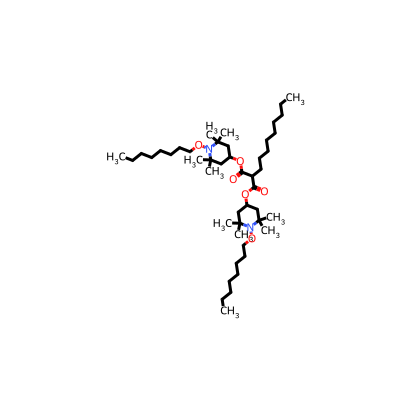 CCCCCCCCCC(C(=O)OC1CC(C)(C)N(OCCCCCCCC)C(C)(C)C1)C(=O)OC1CC(C)(C)N(OCCCCCCCC)C(C)(C)C1